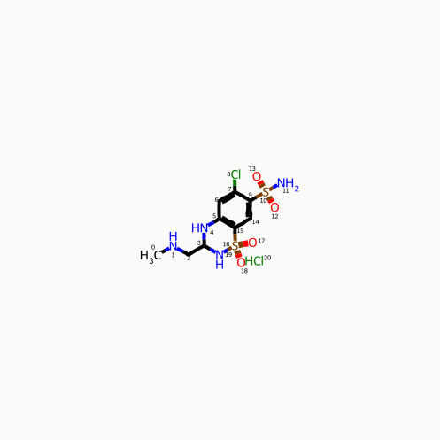 CNCC1Nc2cc(Cl)c(S(N)(=O)=O)cc2S(=O)(=O)N1.Cl